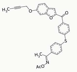 CC#CCOc1ccc2cc(C(=O)c3ccc(Sc4ccc(C(C)=NOC(C)=O)cc4)cc3)oc2c1